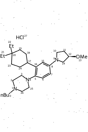 CCCCN1CCN(c2ccc(N3CC[C@@H](OC)C3)cc2C2CCC(CC)(CC)CC2)CC1.Cl